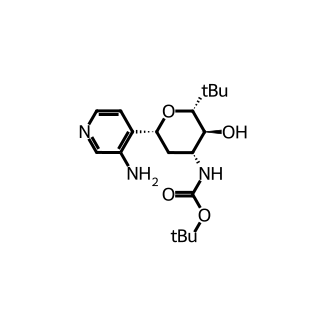 CC(C)(C)OC(=O)N[C@@H]1C[C@H](c2ccncc2N)O[C@H](C(C)(C)C)[C@H]1O